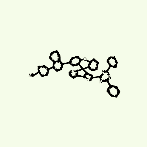 N#Cc1ccc(-c2ccc(-c3ccc4c(c3)C3(c5ccccc5O4)c4ccccc4-c4ccc(-c5nc(-c6ccccc6)nc(-c6ccccc6)n5)cc43)c3ccccc23)cc1